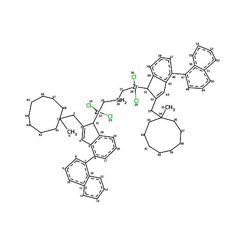 CC1(CC2=Cc3c(-c4cccc5ccccc45)cccc3[CH]2[Zr]([Cl])([Cl])[CH2][SiH2][CH2][Zr]([Cl])([Cl])[CH]2C(CC3(C)CCCCCCCC3)=Cc3c(-c4cccc5ccccc45)cccc32)CCCCCCCC1